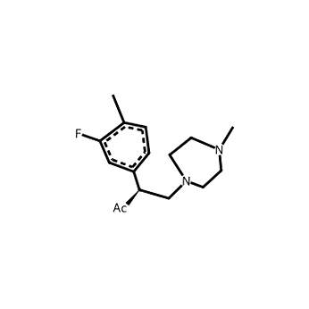 CC(=O)[C@H](CN1CCN(C)CC1)c1ccc(C)c(F)c1